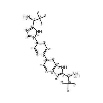 CC(C)(C)[C@H](N)c1ncc(-c2ccc(-c3ccc4nc([C@@H](N)C(C)(C)C)[nH]c4c3)cc2)[nH]1